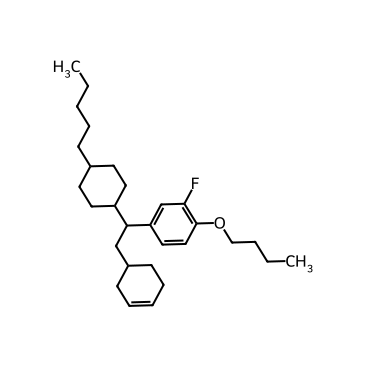 CCCCCC1CCC(C(CC2CC=CCC2)c2ccc(OCCCC)c(F)c2)CC1